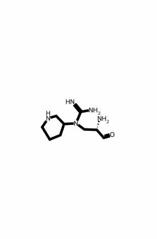 N=C(N)N(C[C@H](N)C=O)C1CCCNC1